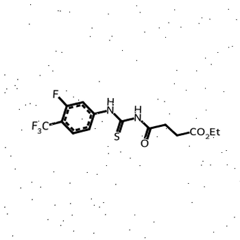 CCOC(=O)CCC(=O)NC(=S)Nc1ccc(C(F)(F)F)c(F)c1